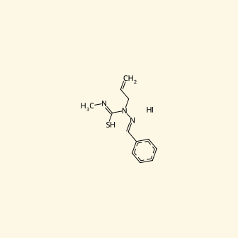 C=CCN(N=Cc1ccccc1)C(S)=NC.I